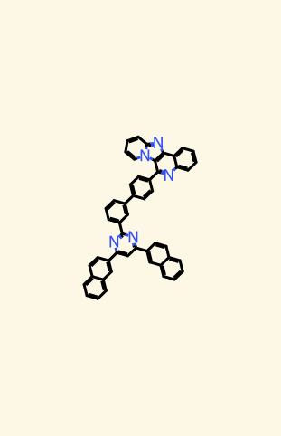 c1cc(-c2ccc(-c3nc4ccccc4c4nc5ccccn5c34)cc2)cc(-c2nc(-c3ccc4ccccc4c3)cc(-c3ccc4ccccc4c3)n2)c1